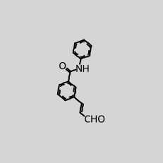 O=C/C=C/c1cccc(C(=O)Nc2ccccc2)c1